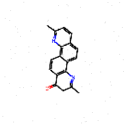 CC1=Nc2c(ccc3c2ccc2ccc(C)nc23)C(=O)C1